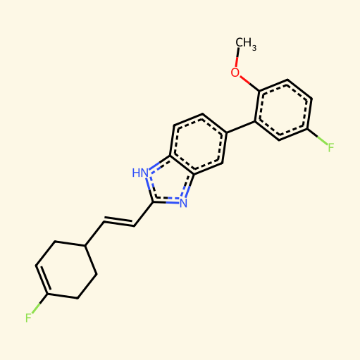 COc1ccc(F)cc1-c1ccc2[nH]c(C=CC3CC=C(F)CC3)nc2c1